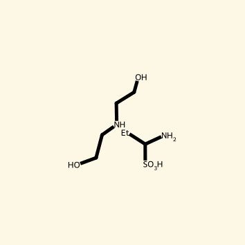 CCC(N)S(=O)(=O)O.OCCNCCO